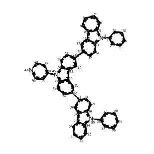 c1ccc(-n2c3ccccc3c3cc(-c4ccc5c(c4)c4cc(-c6ccc7c(c6)c6ccccc6n7-c6ccccc6)ccc4n5-c4ccncc4)ccc32)cc1